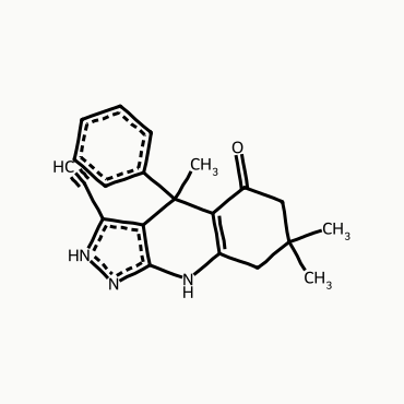 C#Cc1[nH]nc2c1C(C)(c1ccccc1)C1=C(CC(C)(C)CC1=O)N2